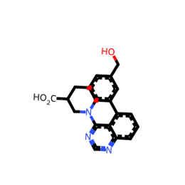 O=C(O)C1CCCN(c2ncnc3cccc(-c4cccc(CO)c4)c23)C1